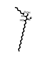 CCCCCCCCCCCCCCCC(O)C(N=O)C(CO)NC(=O)CCCCC